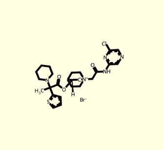 CC(C(=O)O[C@H]1C[N+]2(CC(=O)Nc3cncc(Cl)n3)CCC1CC2)(c1cccs1)N1CCCCC1.[Br-]